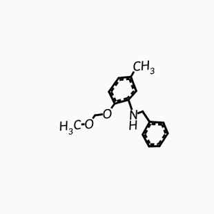 COCOc1ccc(C)cc1NCc1ccccc1